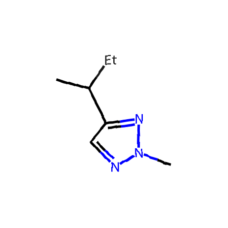 CCC(C)c1cnn(C)n1